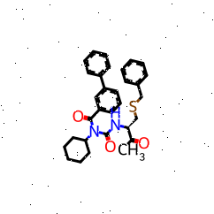 CC(=O)[C@H](CSCc1ccccc1)NC(=O)N(C(=O)c1cccc(-c2ccccc2)c1)C1CCCCC1